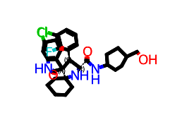 O=C(NC1CCC(CO)CC1)[C@@H]1NC2(CCCCC2)[C@@]2(C(=O)Nc3cc(Cl)ccc32)[C@H]1c1cccc(Cl)c1F